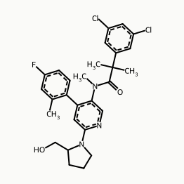 Cc1cc(F)ccc1-c1cc(N2CCCC2CO)ncc1N(C)C(=O)C(C)(C)c1cc(Cl)cc(Cl)c1